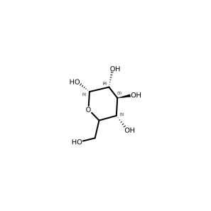 OCC1O[C@H](O)[C@H](O)[C@@H](O)[C@@H]1O